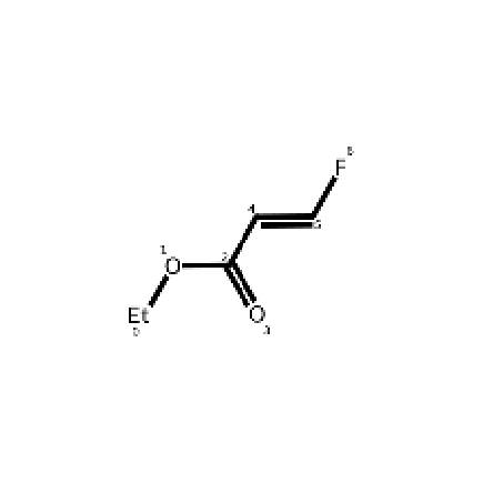 CCOC(=O)C=CF